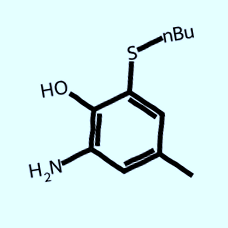 CCCCSc1cc(C)cc(N)c1O